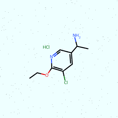 CCOc1ncc(C(C)N)cc1Cl.Cl